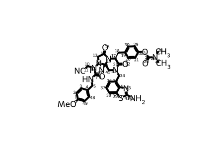 COc1ccc(CNC(=O)N(CC#N)N2CC(=O)N3[C@@H](Cc4ccc(OC(=O)N(C)C)cc4)C(=O)N(Cc4cccc5sc(N)nc45)C[C@@]32N)cc1